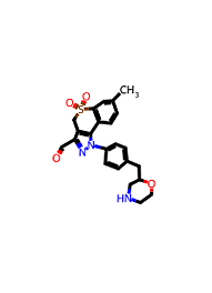 Cc1ccc2c(c1)S(=O)(=O)Cc1c(C=O)nn(-c3ccc(CC4CNCCO4)cc3)c1-2